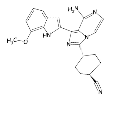 COc1cccc2cc(-c3nc([C@H]4CC[C@H](C#N)CC4)n4ccnc(N)c34)[nH]c12